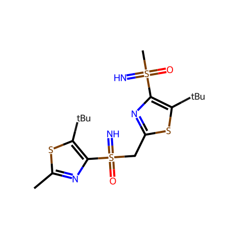 Cc1nc(S(=N)(=O)Cc2nc(S(C)(=N)=O)c(C(C)(C)C)s2)c(C(C)(C)C)s1